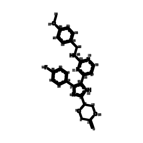 C=C1COC(c2nc(-c3ccc(F)cc3)c(-c3ccnc(NCc4ccc(OC)cc4)n3)[nH]2)CO1